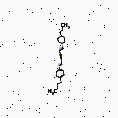 CCCCc1ccc(/C=C/C#C/C=C/[C@H]2CC[C@H](CCC)CC2)cc1